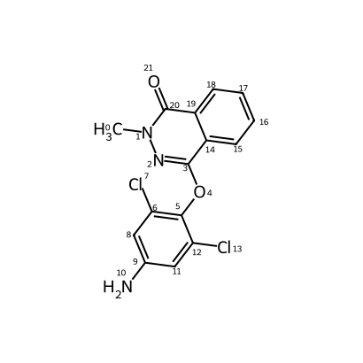 Cn1nc(Oc2c(Cl)cc(N)cc2Cl)c2ccccc2c1=O